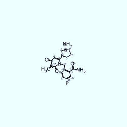 Cn1c(=O)cc(N2CCC[C@@H](N)C2)n(Cc2ccc(F)cc2C(N)=O)c1=O